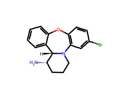 N[C@H]1CCCN2c3cc(Br)ccc3Oc3ccccc3[C@@H]12